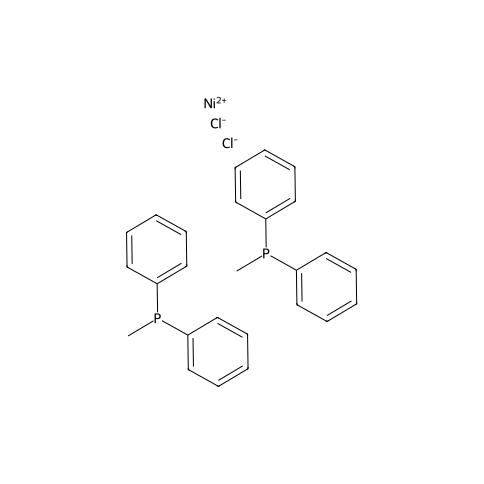 CP(c1ccccc1)c1ccccc1.CP(c1ccccc1)c1ccccc1.[Cl-].[Cl-].[Ni+2]